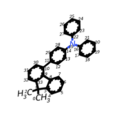 CC1(C)c2ccccc2-c2c(-c3ccc(N(c4ccccc4)c4ccccc4)cc3)cccc21